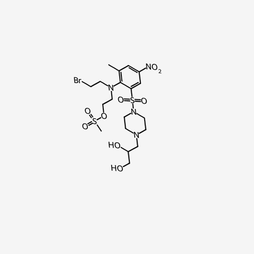 Cc1cc([N+](=O)[O-])cc(S(=O)(=O)N2CCN(CC(O)CO)CC2)c1N(CCBr)CCOS(C)(=O)=O